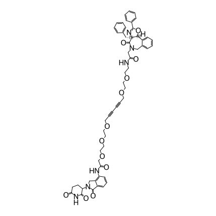 O=C(CN1Cc2ccccc2[C@@H]2OC(c3ccccc3)=N[C@]2(Cc2ccccc2)C1=O)NCCOCCOCC#CC#CCOCCOCCOCC(=O)Nc1cccc2c1CN(C1CCC(=O)NC1=O)C2=O